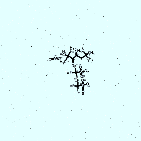 CC(C)(C)CC(=O)C(=O)C(C)(C)C.O=S(=O)([O-])C(F)(F)F.O=S(=O)([O-])C(F)(F)F.[O]=[Mo+2]=[O]